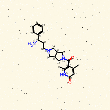 Cc1cc(=O)[nH]c(C)c1C(=O)N1CC2CN(CC[C@H](N)c3ccccc3)CC2C1